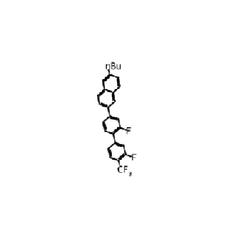 CCCCc1ccc2cc(-c3ccc(-c4ccc(C(F)(F)F)c(F)c4)c(F)c3)ccc2c1